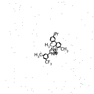 Cc1cc(C2CN(Cc3cc(C)ccc3-c3cc(C(C)C)ccc3C)S(=O)(=O)N2)cc(C(F)(F)F)c1